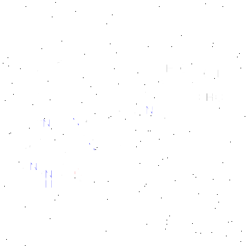 CC(C)(C=O)C1CCN(c2ccc(Nc3nc(-c4ccccc4)nc4cn[nH]c(=O)c34)cc2)CC1